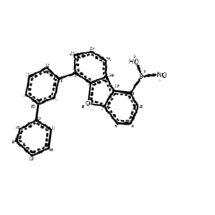 O=NB(O)c1cccc2oc3c(-c4cccc(-c5ccccc5)c4)cccc3c12